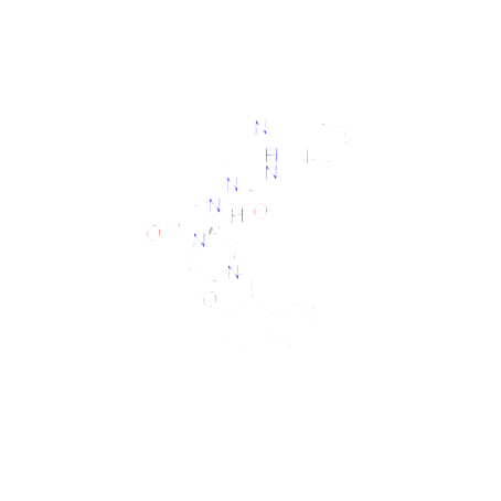 N#CCN(C(=O)NCc1ccccc1)N1CC(=O)N2CC(=O)N(Cc3cccc4ccccc34)C[C@@H]21